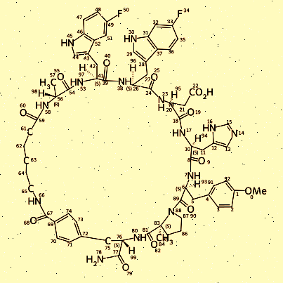 COc1ccc(C[C@@H]2NC(=O)[C@H](Cc3cnc[nH]3)NC(=O)[C@H](CC(=O)O)NC(=O)[C@H](Cc3c[nH]c4cc(F)ccc34)NC(=O)[C@H](Cc3c[nH]c4ccc(F)cc34)NC(=O)[C@@H](C)NC(=O)CCCCCNC(=O)c3ccc(cc3)C[C@@H](C(N)=O)NC(=O)[C@]3(C)CCCN3C2=O)cc1